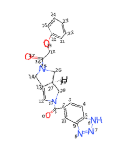 O=C(c1ccc2[nH]nnc2c1)N1C=C2CN(C(=O)COc3ccccc3)C[C@H]2C1